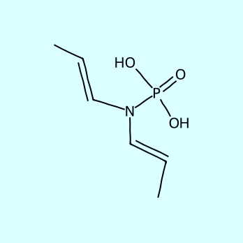 CC=CN(C=CC)P(=O)(O)O